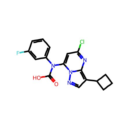 O=C(O)N(c1cccc(F)c1)c1cc(Cl)nc2c(C3CCC3)cnn12